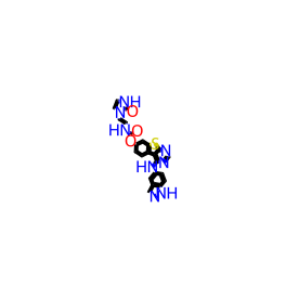 O=C(NCCN1CCNC1=O)OC1CCc2c(sc3ncnc(Nc4ccc5[nH]ncc5c4)c23)C1